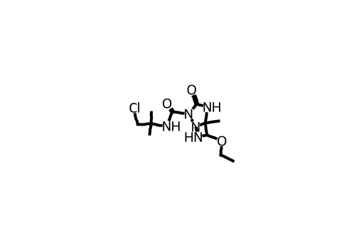 CCOC1NN2N(C(=O)NC(C)(C)CCl)C(=O)NC12C